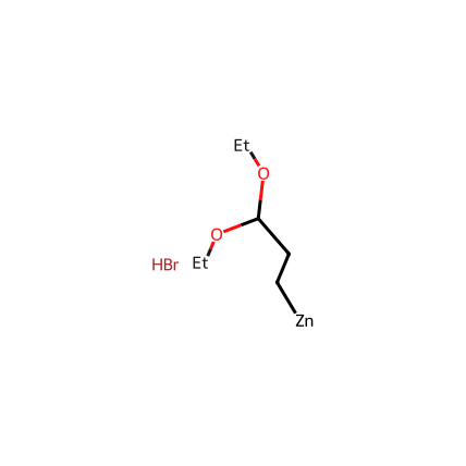 Br.CCOC(C[CH2][Zn])OCC